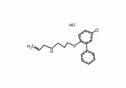 C=CCNCCCOc1ccc(Cl)cc1-c1ccccc1.Cl